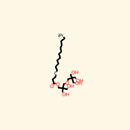 CC(C)CCCCCCCCCCCCCCC(=O)OCC(CO)(CO)COCC(CO)(CO)CO